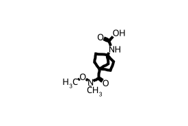 CON(C)C(=O)C12CCC(NC(=O)O)(CC1)C2